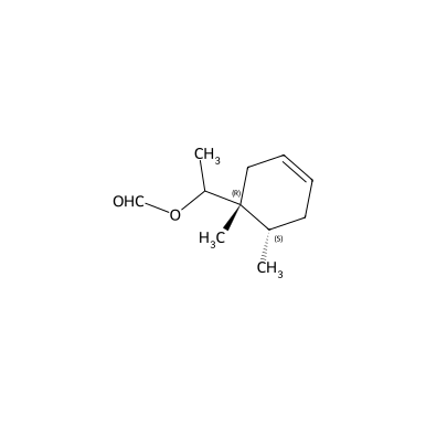 CC(OC=O)[C@]1(C)CC=CC[C@@H]1C